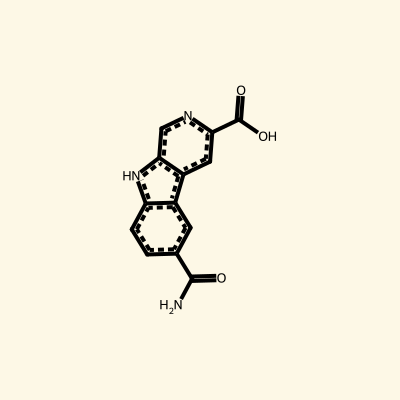 NC(=O)c1ccc2[nH]c3cnc(C(=O)O)cc3c2c1